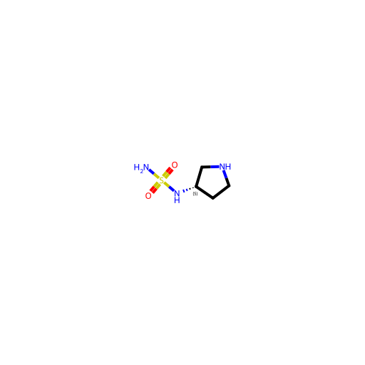 NS(=O)(=O)N[C@H]1CCNC1